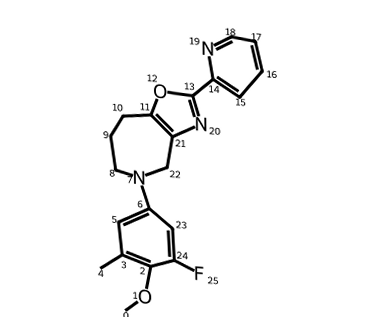 COc1c(C)cc(N2CCCc3oc(-c4ccccn4)nc3C2)cc1F